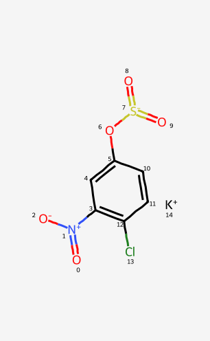 O=[N+]([O-])c1cc(O[S-](=O)=O)ccc1Cl.[K+]